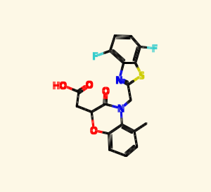 Cc1cccc2c1N(Cc1nc3c(F)ccc(F)c3s1)C(=O)C(CC(=O)O)O2